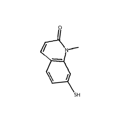 Cn1c(=O)ccc2ccc(S)cc21